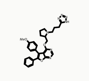 COc1ccc(-c2c(-c3ccccc3)oc3ncnc(OCC4CCCN4CCCc4nnn[nH]4)c23)cc1